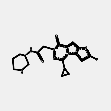 O=C(Cn1nc(C2CC2)n2c(cc3sc(F)cc32)c1=O)N[C@@H]1CCCNC1